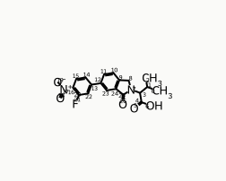 CC(C)C(C(=O)O)N1Cc2ccc(-c3ccc([N+](=O)[O-])c(F)c3)cc2C1=O